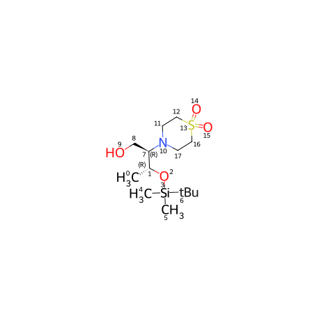 C[C@@H](O[Si](C)(C)C(C)(C)C)[C@@H](CO)N1CCS(=O)(=O)CC1